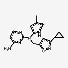 Cc1cc(N(Cc2cc(C3CC3)no2)c2nccc(N)n2)[nH]n1